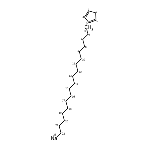 C1=CCC=C1.CCCCCCCCCCCCCCCCC[CH2][Na]